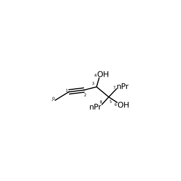 [CH2]C#CC(O)C(O)(CCC)CCC